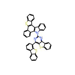 c1ccc2c(c1)sc1c(-c3nc(-n4c5ccccc5c5c6c7ccccc7sc6c6ccccc6c54)nc4c3sc3ccccc34)cccc12